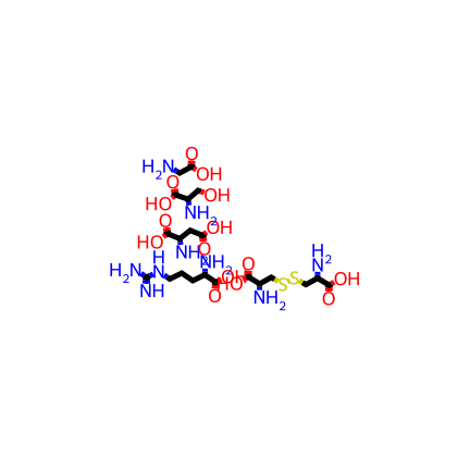 N=C(N)NCCCC(N)C(=O)O.NC(CC(=O)O)C(=O)O.NC(CO)C(=O)O.NC(CSSCC(N)C(=O)O)C(=O)O.NCC(=O)O